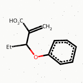 C=C(C(=O)O)C(CC)Oc1ccccc1